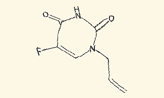 C=CCn1cc(F)c(=O)[nH]c1=O